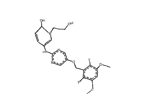 COc1cc(OC)c(F)c(COc2cnc(NC3=CN(CCO)C(O)C=C3)nc2)c1F